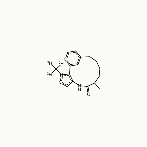 [2H]C([2H])([2H])n1ncc2c1-c1cc(ccn1)CCCCC(C)C(=O)N2